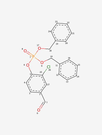 O=Cc1ccc(OP(=O)(OCc2ccccc2)OCc2ccccc2)c(Cl)c1